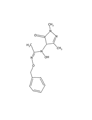 CC1=NN(C)C(=O)C1N(O)C(C)=NOCc1ccccc1